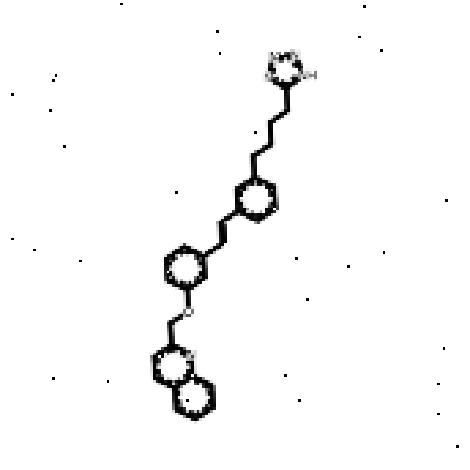 C(=C\c1cccc(OCc2ccc3ccccc3n2)c1)/c1cccc(CCCCc2nnn[nH]2)c1